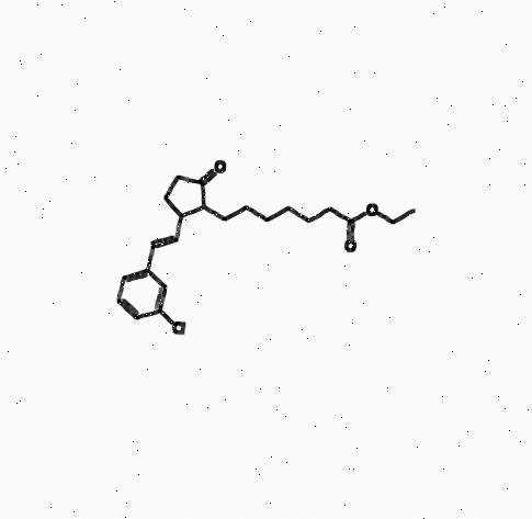 CCOC(=O)CCCCCCC1C(=O)CCC1/C=C/c1cccc(Cl)c1